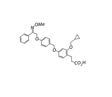 CO/N=C(\COc1ccc(COc2ccc(CCC(=O)O)c(OCC3CC3)c2)cc1)c1ccccc1